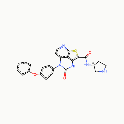 O=C(N[C@@H]1CCNC1)c1sc2nccc3c2c1NC(=O)N3c1ccc(Oc2ccccc2)cc1